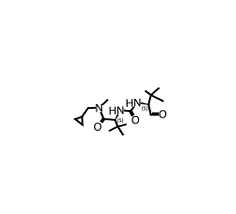 CN(CC1CC1)C(=O)[C@@H](NC(=O)N[C@H](C=O)C(C)(C)C)C(C)(C)C